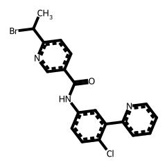 CC(Br)c1ccc(C(=O)Nc2ccc(Cl)c(-c3ccccn3)c2)cn1